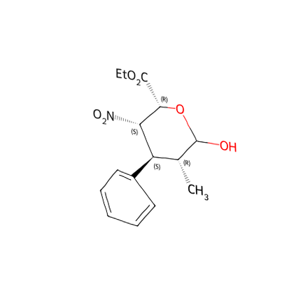 CCOC(=O)[C@@H]1OC(O)[C@H](C)[C@@H](c2ccccc2)[C@@H]1[N+](=O)[O-]